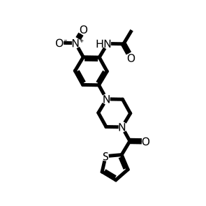 CC(=O)Nc1cc(N2CCN(C(=O)c3cccs3)CC2)ccc1[N+](=O)[O-]